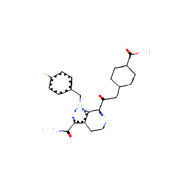 NC(=O)c1nn(Cc2ccc(F)cc2)c2c1CCN=C2C(=O)CC1CCC(C(=O)O)CC1